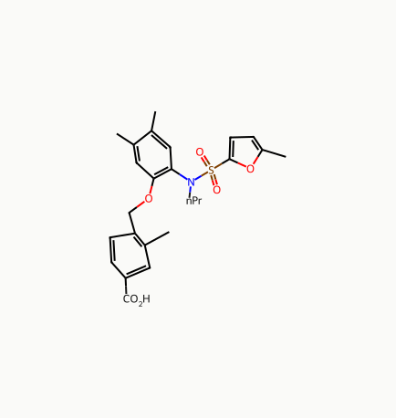 CCCN(c1cc(C)c(C)cc1OCc1ccc(C(=O)O)cc1C)S(=O)(=O)c1ccc(C)o1